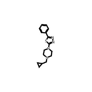 c1ccc(-c2nnc(N3CCN(CC4CC4)CC3)s2)cc1